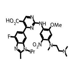 COc1cc(N(C)CCN(C)C)c([N+](=O)[O-])cc1Nc1ncc(C(=O)O)c(-c2cc(F)c3nc(C)n(C(C)C)c3c2)n1